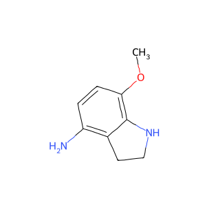 COc1ccc(N)c2c1NCC2